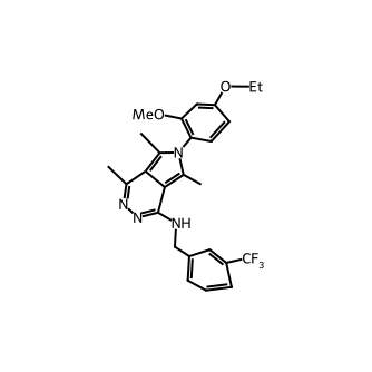 CCOc1ccc(-n2c(C)c3c(C)nnc(NCc4cccc(C(F)(F)F)c4)c3c2C)c(OC)c1